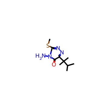 CSc1nnc(C(C)(C)C(C)C)c(=O)n1N